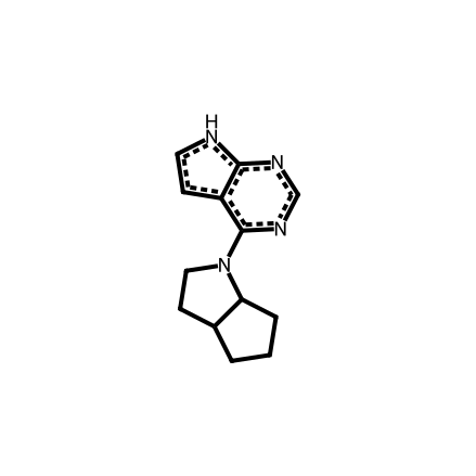 c1nc(N2CCC3CCCC32)c2cc[nH]c2n1